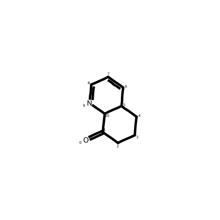 O=C1CCCC2C=CC=NC12